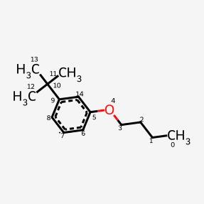 CCCCOc1c[c]cc(C(C)(C)C)c1